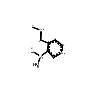 COCc1ccncc1B(O)O